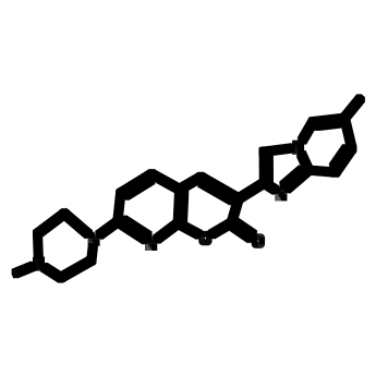 Cc1ccc2nc(-c3cc4ccc(N5CCN(C)CC5)nc4oc3=O)cn2c1